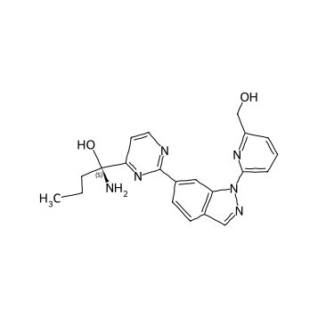 CCC[C@](N)(O)c1ccnc(-c2ccc3cnn(-c4cccc(CO)n4)c3c2)n1